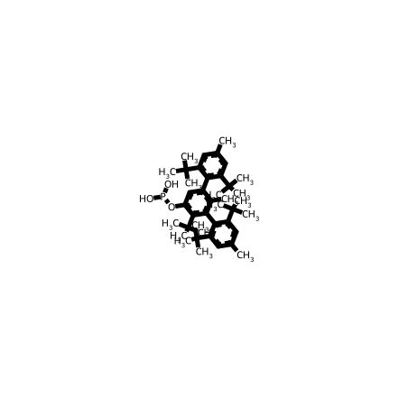 Cc1cc(C(C)(C)C)c(-c2cc(OP(O)O)c(C(C)(C)C)c(-c3c(C(C)(C)C)cc(C)cc3C(C)(C)C)c2C)c(C(C)(C)C)c1